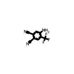 N#Cc1cc(N)c(C(F)(F)F)cc1C#N